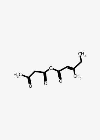 CCC(C)=CC(=O)OC(=O)CC(C)=O